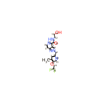 Cc1cc(Cn2cc3c(C(=O)NCCO)nccc3n2)ncc1OCC(F)F